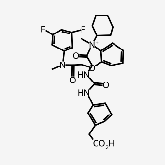 CN(C(=O)COc1ccccc1[N+](C)(C(=O)CNC(=O)Nc1cccc(CC(=O)O)c1)C1CCCCC1)c1cc(F)cc(F)c1